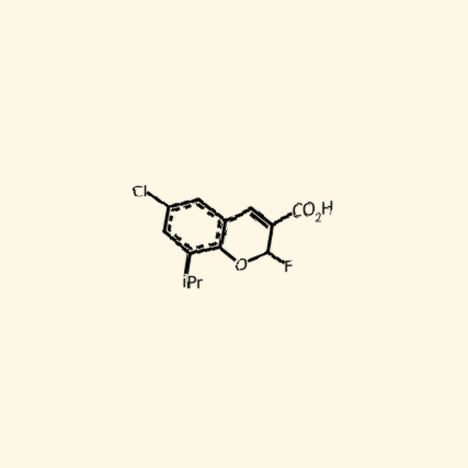 CC(C)c1cc(Cl)cc2c1OC(F)C(C(=O)O)=C2